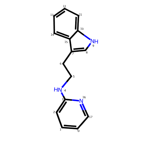 [c]1ccc(NCCc2c[nH]c3ccccc23)nc1